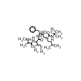 CC[C@H](C)[C@H](NC(=O)[C@@H](C)NC)C(=O)N[C@@H](Cc1ccccc1)[C@H](O)CN(CCC(C)C)C(=O)NC(C)(C)C